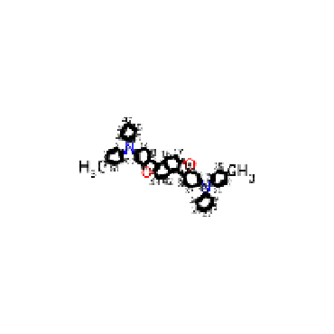 Cc1ccc(N(C2=Cc3oc4c(c3CC2)C2CC=c3oc5cc(N(c6ccccc6)c6ccc(C)cc6)ccc5c3=C2C=C4)c2ccccc2)cc1